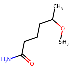 CC(CCCC(N)=O)O[SiH3]